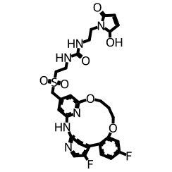 O=C(NCCN1C(=O)C=CC1O)NCCS(=O)(=O)Cc1cc2nc(c1)OCCCOc1cc(F)ccc1-c1cc(ncc1F)N2